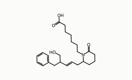 O=C(O)CCCCCCN1C(=O)CCCC1C/C=C/C(CO)Cc1ccccc1